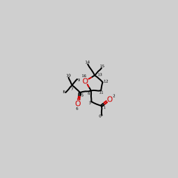 CC(=O)CC1(C(=O)C(C)(C)C)CCC(C)(C)O1